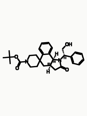 CC(C)(C)OC(=O)N1CCC2(CC1)C[C@@H]1CC(=O)N([C@H](CO)c3ccccc3)[C@@H]1c1ccccc12